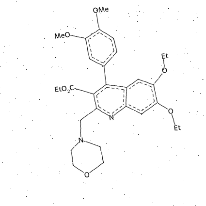 CCOC(=O)c1c(CN2CCOCC2)nc2cc(OCC)c(OCC)cc2c1-c1ccc(OC)c(OC)c1